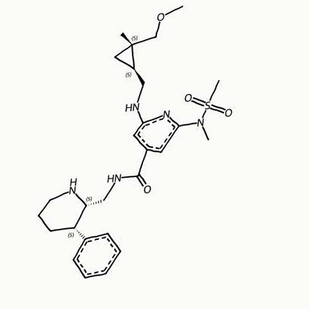 COC[C@@]1(C)C[C@@H]1CNc1cc(C(=O)NC[C@H]2NCCC[C@H]2c2ccccc2)cc(N(C)S(C)(=O)=O)n1